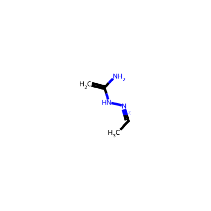 C=C(N)N/N=C\C